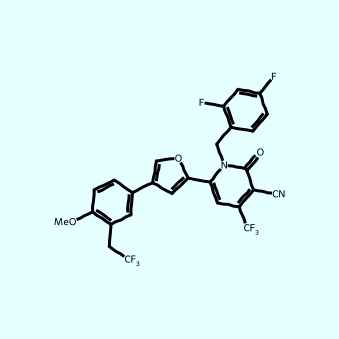 COc1ccc(-c2coc(-c3cc(C(F)(F)F)c(C#N)c(=O)n3Cc3ccc(F)cc3F)c2)cc1CC(F)(F)F